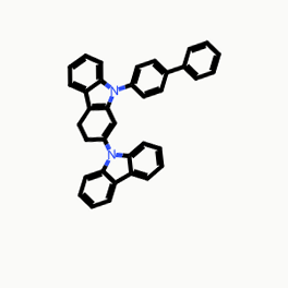 C1=C(n2c3ccccc3c3ccccc32)CCc2c1n(-c1ccc(-c3ccccc3)cc1)c1ccccc21